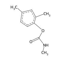 CNC(=O)Oc1ccc(C)cc1C